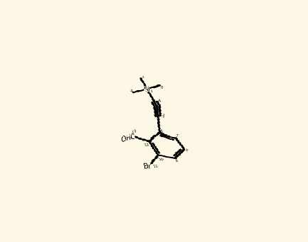 C[Si](C)(C)C#Cc1cccc(Br)c1C=O